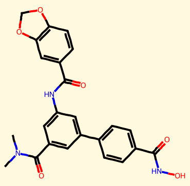 CN(C)C(=O)c1cc(NC(=O)c2ccc3c(c2)OCO3)cc(-c2ccc(C(=O)NO)cc2)c1